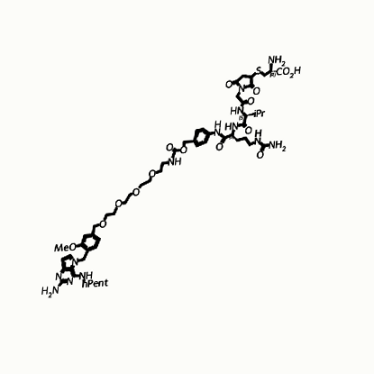 CCCCCNc1nc(N)nc2ccn(Cc3ccc(COCCOCCOCCOCCNC(=O)OCc4ccc(NC(=O)[C@H](CCCNC(N)=O)NC(=O)[C@@H](NC(=O)CN5C(=O)CC(SC[C@H](N)C(=O)O)C5=O)C(C)C)cc4)cc3OC)c12